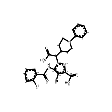 NC(=O)C(C1CCN(c2ccccc2)CC1)n1nc(C(=O)O)c(Br)c1NC(=O)c1ccccc1Cl